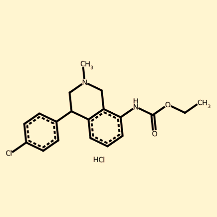 CCOC(=O)Nc1cccc2c1CN(C)CC2c1ccc(Cl)cc1.Cl